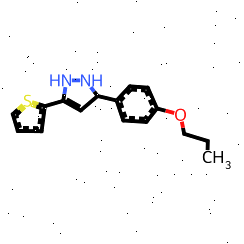 CCCOc1ccc(C2C=C(c3cccs3)NN2)cc1